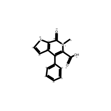 Cn1c(C(=O)O)c(-c2ccccc2)c2ccsc2c1=O